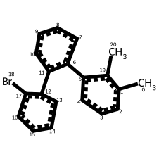 Cc1cccc(-c2ccccc2-c2ccccc2Br)c1C